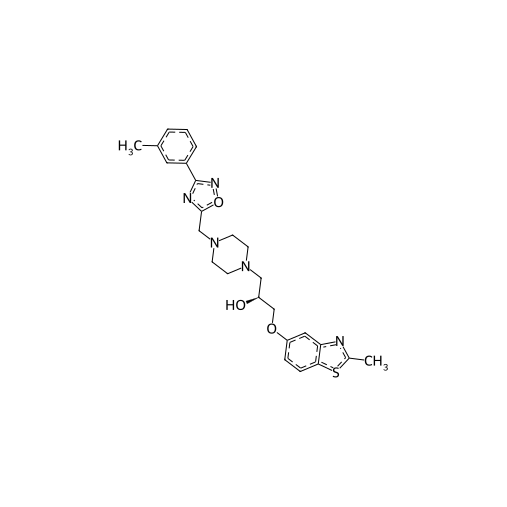 Cc1cccc(-c2noc(CN3CCN(C[C@H](O)COc4ccc5sc(C)nc5c4)CC3)n2)c1